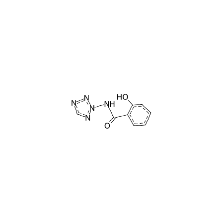 O=C(Nn1ncnn1)c1ccccc1O